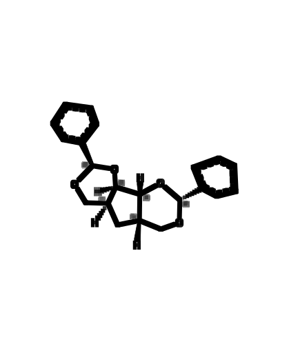 c1ccc([C@@H]2OC[C@@H]3C[C@H]4CO[C@@H](c5ccccc5)O[C@H]4[C@@H]3O2)cc1